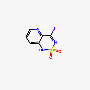 O=S1(=O)N=C(I)c2ncccc2N1